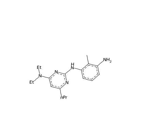 CCCc1cc(N(CC)CC)nc(Nc2cccc(N)c2C)n1